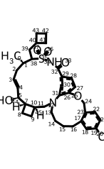 C[C@@H]1C/C=C/[C@H](O)[C@H]2CC[C@H]2CN2CCCCc3cc(Cl)ccc3COc3ccc(cc32)C(=O)NS(=O)(=O)C1CC1CCC1